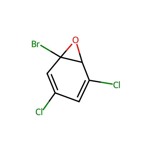 ClC1=CC2(Br)OC2C(Cl)=C1